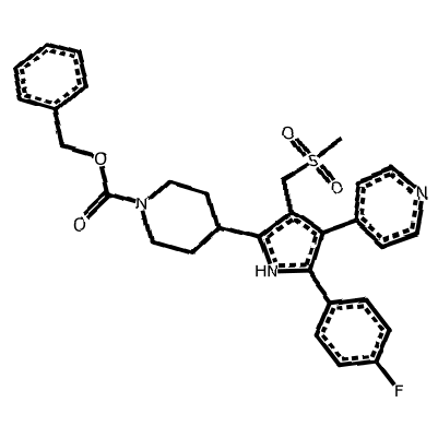 CS(=O)(=O)Cc1c(C2CCN(C(=O)OCc3ccccc3)CC2)[nH]c(-c2ccc(F)cc2)c1-c1ccncc1